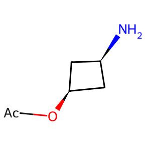 CC(=O)O[C@H]1C[C@@H](N)C1